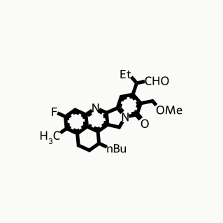 CCCCC1CCc2c(C)c(F)cc3nc4c(c1c23)Cn1c-4cc(C(C=O)CC)c(COC)c1=O